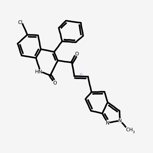 Cn1cc2cc(/C=C/C(=O)c3c(-c4ccccc4)c4cc(Cl)ccc4[nH]c3=O)ccc2n1